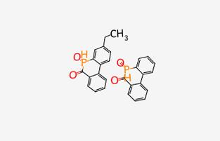 CCc1ccc2c(c1)[PH](=O)C(=O)c1ccccc1-2.O=C1c2ccccc2-c2ccccc2[PH]1=O